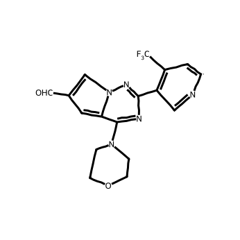 O=Cc1cc2c(N3CCOCC3)nc(-c3cn[c]cc3C(F)(F)F)nn2c1